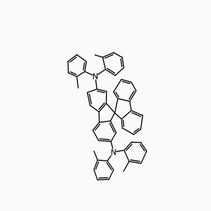 Cc1ccccc1N(c1ccc2c(c1)C1(c3ccccc3-c3ccccc31)c1cc(N(c3ccccc3C)c3ccccc3C)ccc1-2)c1ccccc1C